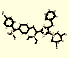 CCN(CC)C(CC1CCC(C(c2ccc(F)cc2)N(C)C)CC1)c1nc(Cc2ccccc2)c(N2CC(C)CC(C)C2)o1